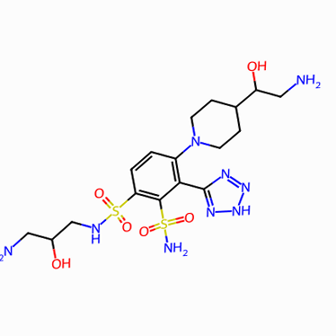 NCC(O)CNS(=O)(=O)c1ccc(N2CCC(C(O)CN)CC2)c(-c2nn[nH]n2)c1S(N)(=O)=O